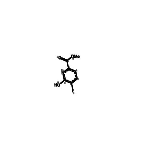 COC(=O)c1ccc(F)c(O)n1